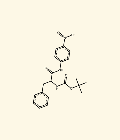 CC(C)(C)OC(=O)NC(Cc1ccccc1)C(=O)Nc1ccc([N+](=O)[O-])cc1